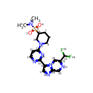 CN(C)S(=O)(=O)C1CCCN(c2ccnc(-c3cnc4cnc(C(F)F)cn34)n2)C1